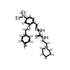 CCN(CC)c1ccc(C=NNC(=S)NCCN2CCCCC2)c(OCc2ccc(F)cc2)c1